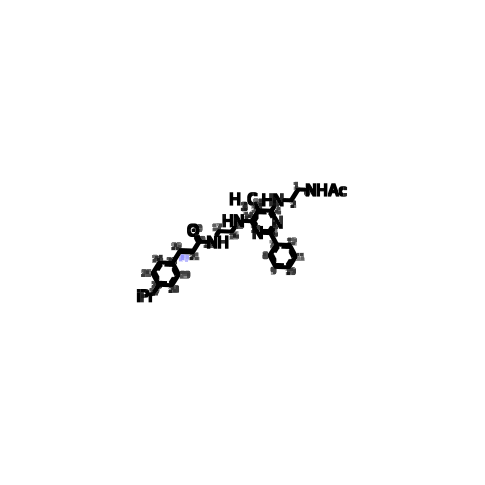 CC(=O)NCCNc1nc(-c2ccccc2)nc(NCCNC(=O)/C=C/c2ccc(C(C)C)cc2)c1C